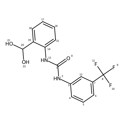 O=C(Nc1cccc(C(F)(F)F)c1)Nc1ccccc1C(O)O